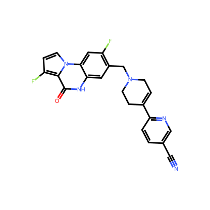 N#Cc1ccc(C2=CCN(Cc3cc4[nH]c(=O)c5c(F)ccn5c4cc3F)CC2)nc1